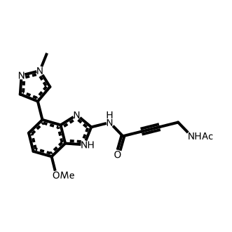 COc1ccc(-c2cnn(C)c2)c2nc(NC(=O)C#CCNC(C)=O)[nH]c12